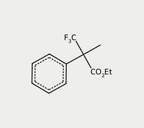 CCOC(=O)C(C)(c1ccccc1)C(F)(F)F